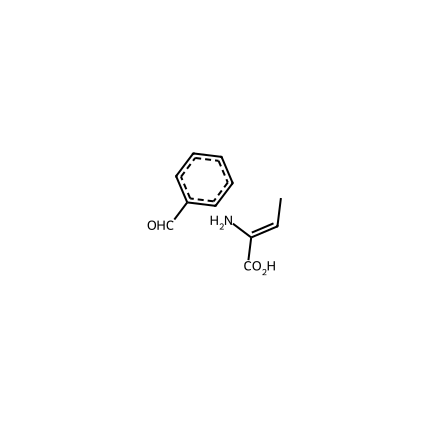 C/C=C(\N)C(=O)O.O=Cc1ccccc1